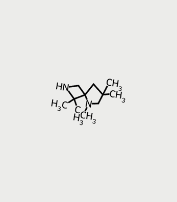 CN1CC(C)(C)CC12CNC2(C)C